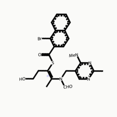 CNc1nc(C)ncc1CN(C=O)/C(C)=C(/CCO)SC(=O)c1ccc2ccccc2c1Br